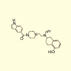 CCCN(CCN1CCN(C(=O)c2ccc3[nH]ccc3c2)CC1)C1CCc2c(O)cccc2C1